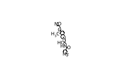 Cc1c(OCc2cnco2)ccc2c1CCN(CC(O)CNC(=O)c1ccnc(F)c1)C2